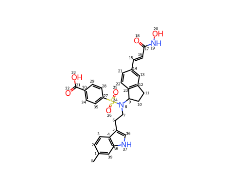 Cc1ccc2c(CCN(C3CCc4cc(C=CC(=O)NO)ccc43)S(=O)(=O)c3ccc(C(=O)O)cc3)c[nH]c2c1